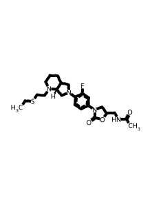 CCSCCN1CCCC2CN(c3ccc(N4CC(CNC(C)=O)OC4=O)cc3F)C[C@@H]21